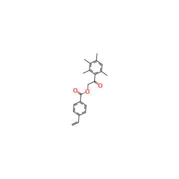 C=Cc1ccc(C(=O)OCC(=O)c2c(C)cc(C)c(C)c2C)cc1